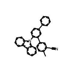 Cc1ccc(-c2cc(-c3ccccc3)ccc2-n2c3ccccc3c3ccccc32)cc1C#N